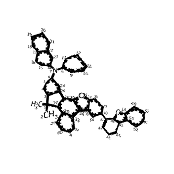 CC1(C)c2ccc(N(c3ccccc3)c3ccc4ccccc4c3)cc2-c2c1c1ccccc1c1c2oc2ccc(C3=CCCc4c3oc3ccccc43)cc21